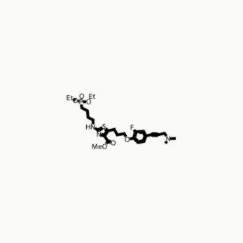 CCOP(=O)(CCCCNc1nc(C(=O)OC)c(CCCOc2ccc(C#CCN(C)C)cc2F)s1)OCC